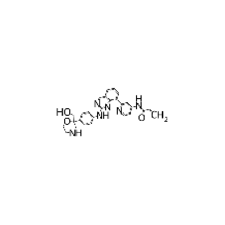 C=CC(=O)Nc1ccnc(-c2cccc3cnc(Nc4ccc(C5(CO)CNCCO5)cc4)nc23)c1